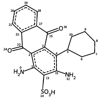 Nc1c2c(c(C3CCCCC3)c(N)c1S(=O)(=O)O)C(=O)c1ccccc1C2=O